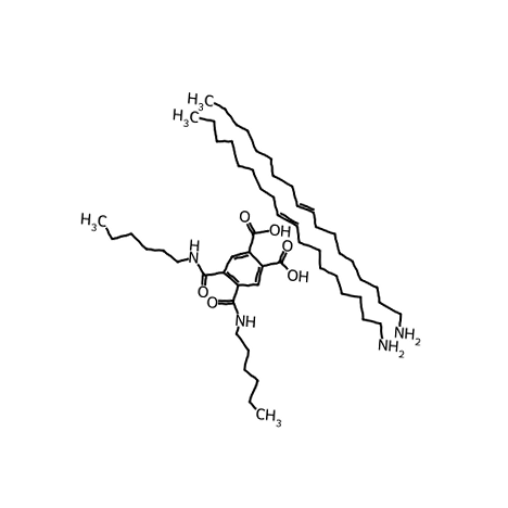 CCCCCCCCC=CCCCCCCCCN.CCCCCCCCC=CCCCCCCCCN.CCCCCCNC(=O)c1cc(C(=O)O)c(C(=O)O)cc1C(=O)NCCCCCC